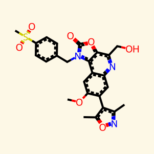 COc1cc2c(cc1-c1c(C)noc1C)nc(CO)c1oc(=O)n(Cc3ccc(S(C)(=O)=O)cc3)c12